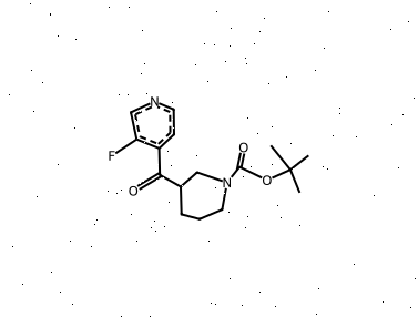 CC(C)(C)OC(=O)N1CCCC(C(=O)c2ccncc2F)C1